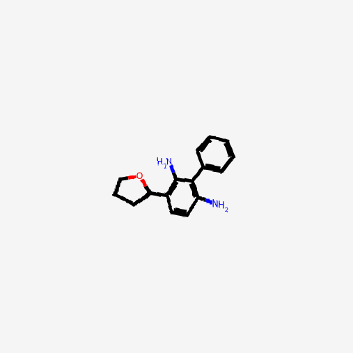 Nc1ccc(C2CCCO2)c(N)c1-c1ccccc1